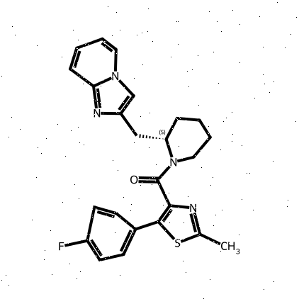 Cc1nc(C(=O)N2CCCC[C@H]2Cc2cn3ccccc3n2)c(-c2ccc(F)cc2)s1